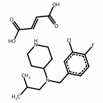 CC(C)CN(Cc1ccc(F)c(Cl)c1)C1CCNCC1.O=C(O)C=CC(=O)O